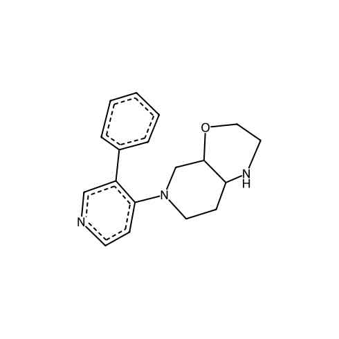 c1ccc(-c2cnccc2N2CCC3NCCOC3C2)cc1